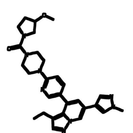 CCc1cnn2cc(-c3cnn(C)c3)cc(-c3ccc(N4CCN(C(=O)N5CCC(OC)C5)CC4)nc3)c12